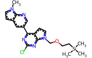 Cn1ccc2cc(-c3nc(Cl)nc4c3ccn4COCC[Si](C)(C)C)cnc21